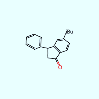 CCC(C)c1ccc2c(c1)C(c1ccccc1)CC2=O